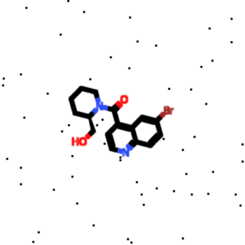 O=C(c1ccnc2ccc(Br)cc12)N1CCCC[C@@H]1CO